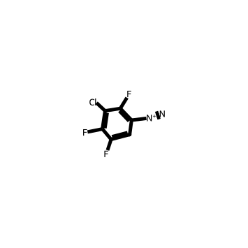 N#[N+]c1cc(F)c(F)c(Cl)c1F